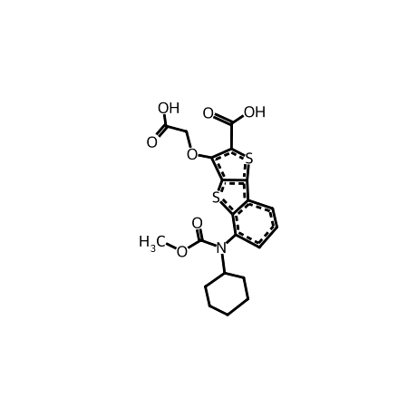 COC(=O)N(c1cccc2c1sc1c(OCC(=O)O)c(C(=O)O)sc12)C1CCCCC1